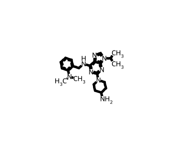 CC(C)n1cnc2c(NCc3ccccc3N(C)C)nc(N3CCC(N)CC3)nc21